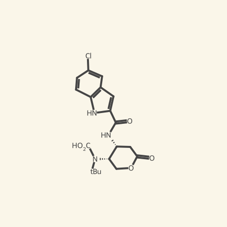 CC(C)(C)N(C(=O)O)[C@H]1COC(=O)C[C@H]1NC(=O)c1cc2cc(Cl)ccc2[nH]1